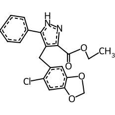 CCOC(=O)c1n[nH]c(-c2ccccc2)c1Cc1cc2c(cc1Cl)OCO2